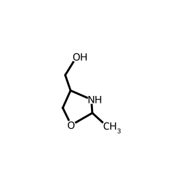 CC1NC(CO)CO1